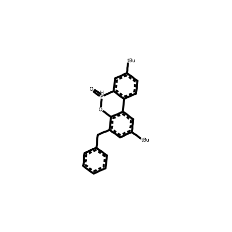 CC(C)(C)c1cc(Cc2ccccc2)c2c(c1)-c1ccc(C(C)(C)C)cc1[PH](=O)O2